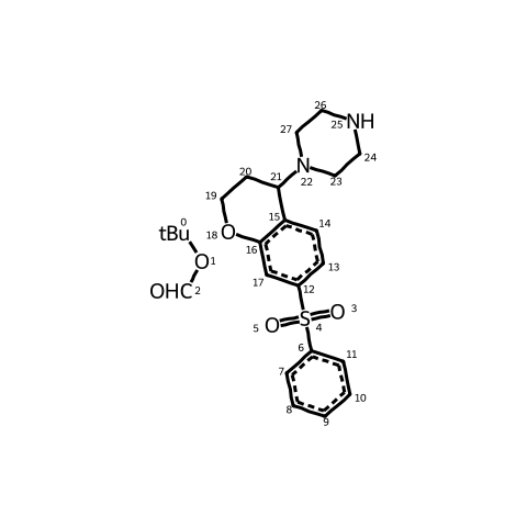 CC(C)(C)OC=O.O=S(=O)(c1ccccc1)c1ccc2c(c1)OCCC2N1CCNCC1